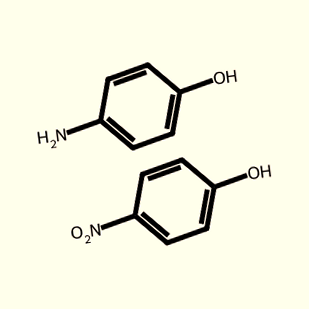 Nc1ccc(O)cc1.O=[N+]([O-])c1ccc(O)cc1